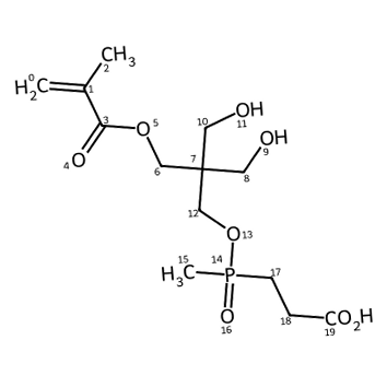 C=C(C)C(=O)OCC(CO)(CO)COP(C)(=O)CCC(=O)O